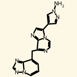 Nn1cc(-c2cnc3c(Cc4cccn5ncnc45)nccn23)cn1